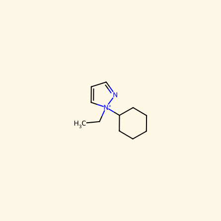 CC[N+]1(C2CCCCC2)C=CC=N1